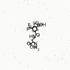 NC(CCNC(=O)c1cc2c(c(C(F)F)c1)COB2O)C(=O)O